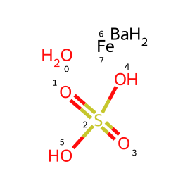 O.O=S(=O)(O)O.[BaH2].[Fe]